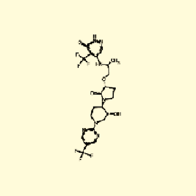 C[C@@H](CO[C@@H]1CCN([C@@H]2CCN(c3ncc(C(F)(F)F)cn3)C[C@@H]2O)C1=O)Nc1cn[nH]c(=O)c1C(F)(F)F